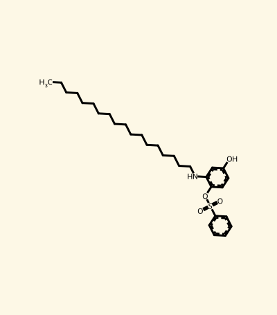 CCCCCCCCCCCCCCCCCCNc1cc(O)ccc1OS(=O)(=O)c1ccccc1